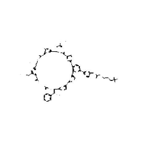 CNC(=O)C[C@@H]1NC(=O)c2csc(n2)-c2ccc(-c3nc(NC(=O)OCCCC(C)(C)N)cs3)nc2-c2csc(n2)-c2csc(n2)[C@H]([C@@H](O)c2ccccc2)NC(=O)CNC(=O)c2nc(sc2COC)[C@H](C(C)C)NC(=O)c2nc1sc2C